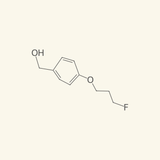 OCc1ccc(OCCCF)cc1